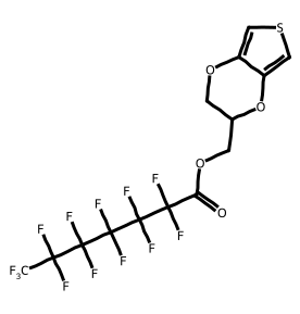 O=C(OCC1COc2cscc2O1)C(F)(F)C(F)(F)C(F)(F)C(F)(F)C(F)(F)C(F)(F)F